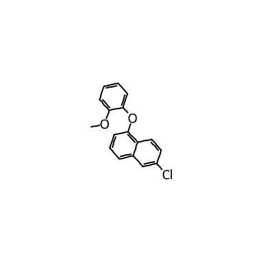 COc1ccccc1Oc1cccc2cc(Cl)ccc12